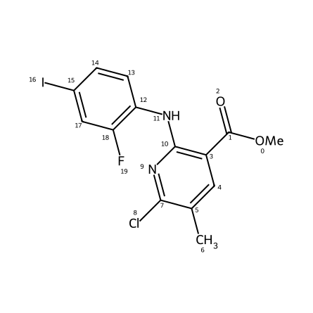 COC(=O)c1cc(C)c(Cl)nc1Nc1ccc(I)cc1F